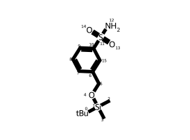 CC(C)(C)[Si](C)(C)OCc1cccc(S(N)(=O)=O)c1